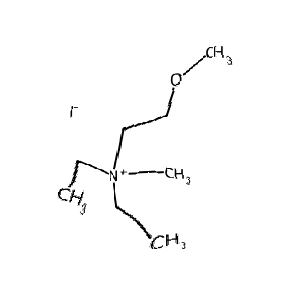 CC[N+](C)(CC)CCOC.[I-]